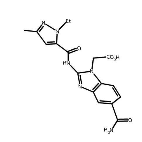 CCn1nc(C)cc1C(=O)Nc1nc2cc(C(N)=O)ccc2n1CC(=O)O